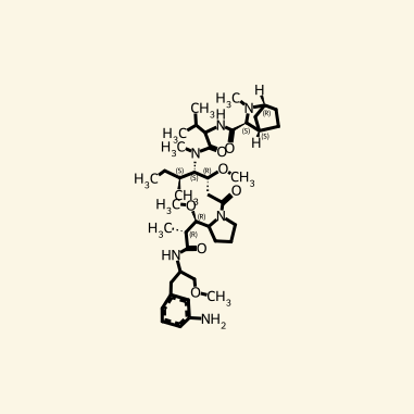 CC[C@H](C)[C@@H]([C@@H](CC(=O)N1CCCC1[C@H](OC)[C@@H](C)C(=O)NC(COC)Cc1cccc(N)c1)OC)N(C)C(=O)C(NC(=O)[C@@H]1[C@H]2CC[C@H](C2)N1C)C(C)C